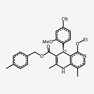 CCOc1ncc(C)c2c1[C@H](c1ccc(C#N)cc1OC)C(C(=O)OCc1ccc(C)cc1)=C(C)N2